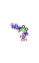 COc1nc(-c2cccc(-c3cccc(-c4cnc(CNCC5CCC(=O)N5)c(OC)n4)c3Cl)c2Cl)cnc1CNCCO